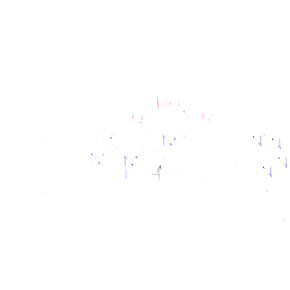 CCCn1nnnc1SCC1=C(C(=O)O)N2C(=O)C(NC(=O)NCc3ccccc3)[C@H]2SC1